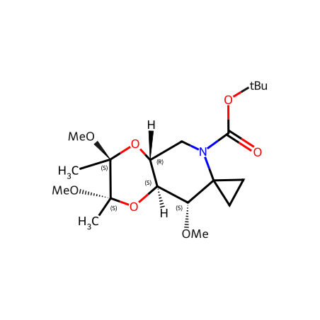 CO[C@@H]1[C@H]2O[C@](C)(OC)[C@@](C)(OC)O[C@@H]2CN(C(=O)OC(C)(C)C)C12CC2